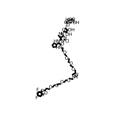 O=C(CCOCCOCCOCCOCCn1cc(COCCOCCOCCOCCNC(=O)[C@H](Nc2nc(Cl)nc3c2cnn3[C@@H]2O[C@H](COP(=O)(O)CP(=O)(O)O)[C@@H](O)[C@H]2O)C2CCCC2)nn1)Oc1c(F)cc(F)cc1F